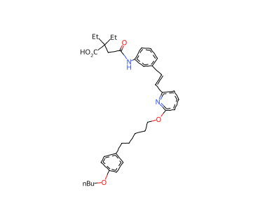 CCCCOc1ccc(CCCCCOc2cccc(/C=C/c3cccc(NC(=O)CC(CC)(CC)C(=O)O)c3)n2)cc1